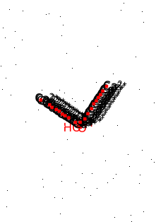 O=C(O)O.[Ca+2].[Ca+2].[Ca+2].[Ca+2].[Ca+2].[Ca+2].[Ca+2].[Ca+2].[Ca+2].[Ca+2].[Ca+2].[Ca+2].[Ca+2].[Ca+2].[Ca+2].[Ca+2].[Ca+2].[Ca+2].[Ca+2].[Ca+2].[Ca+2].[Ca+2].[Ca+2].[Ca+2].[Ca+2].[Ca+2].[Ca+2].[Ca+2].[Ca+2].[Ca+2].[Ca+2].[Ca+2].[Ca+2].[Ca+2].[Ca+2].[Ca+2].[Ca+2].[Ca+2].[Ca+2].[Ca+2].[Ca+2].[Ca+2].[Ca+2].[Ca+2].[Ca+2].[Ca+2].[Ca+2].[Ca+2].[Ca+2]